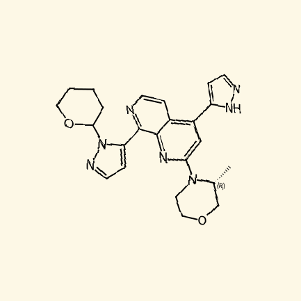 C[C@@H]1COCCN1c1cc(-c2ccn[nH]2)c2ccnc(-c3ccnn3C3CCCCO3)c2n1